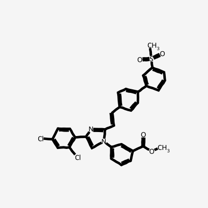 COC(=O)c1cccc(-n2cc(-c3ccc(Cl)cc3Cl)nc2C=Cc2ccc(-c3cccc(S(C)(=O)=O)c3)cc2)c1